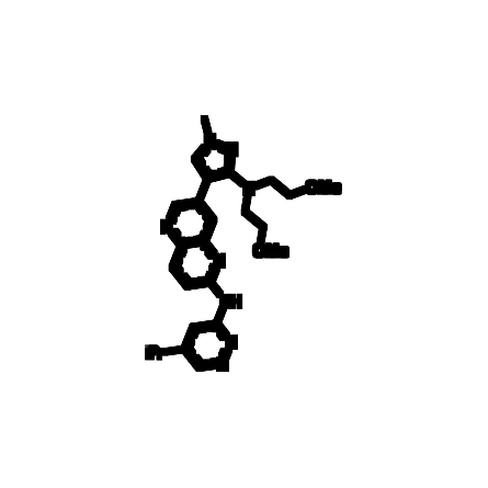 COCCN(CCOC)c1nn(C)cc1-c1cnc2ccc(Nc3cc(C(C)C)cnn3)nc2c1